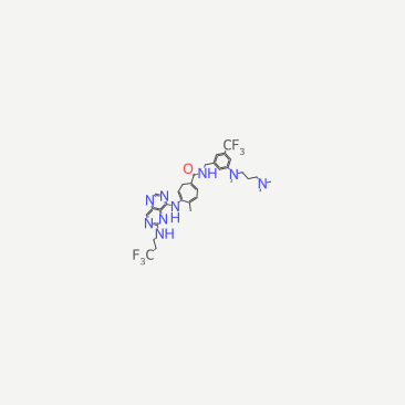 CC1=CC=C(C(=O)NCc2cc(N(C)CCCN(C)C)cc(C(F)(F)F)c2)CC=C1Nc1ncnc2cnc(NCCC(F)(F)F)nc12